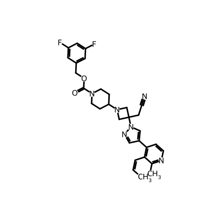 C/C=C\c1c(-c2cnn(C3(CC#N)CN(C4CCN(C(=O)OCc5cc(F)cc(F)c5)CC4)C3)c2)ccnc1C